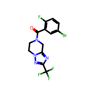 O=C(c1cc(Br)ccc1F)N1CCn2nc(C(F)(F)F)nc2C1